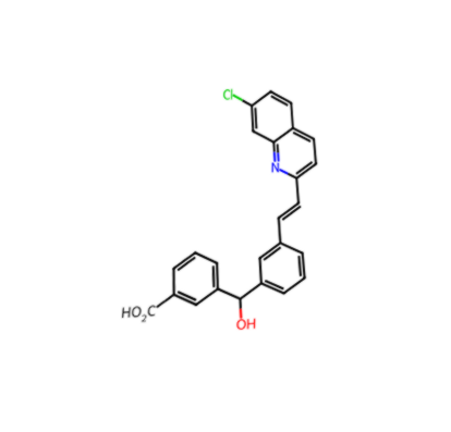 O=C(O)c1cccc(C(O)c2cccc(C=Cc3ccc4ccc(Cl)cc4n3)c2)c1